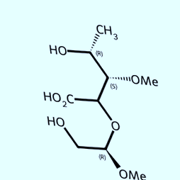 CO[C@@H](CO)OC(C(=O)O)[C@@H](OC)[C@@H](C)O